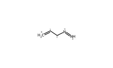 C=C[CH]N=N